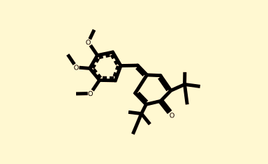 COc1cc(C=C2C=C(C(C)(C)C)C(=O)C(C(C)(C)C)=C2)cc(OC)c1OC